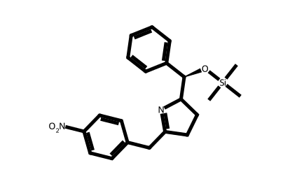 C[Si](C)(C)O[C@H](c1ccccc1)C1CCC(Cc2ccc([N+](=O)[O-])cc2)=N1